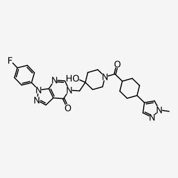 Cn1cc(C2CCC(C(=O)N3CCC(O)(Cn4cnc5c(cnn5-c5ccc(F)cc5)c4=O)CC3)CC2)cn1